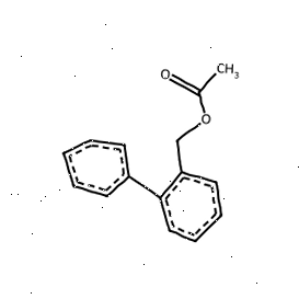 CC(=O)OCc1ccccc1-c1ccccc1